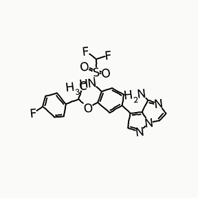 CC(Oc1cc(-c2cnn3ccnc(N)c23)ccc1NS(=O)(=O)C(F)F)c1ccc(F)cc1